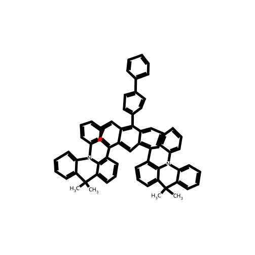 CC1(C)c2ccccc2N(c2ccccc2)c2c(-c3cccc4c(-c5ccc(-c6ccccc6)cc5)c5cccc(-c6cccc7c6N(c6ccccc6)c6ccccc6C7(C)C)c5cc34)cccc21